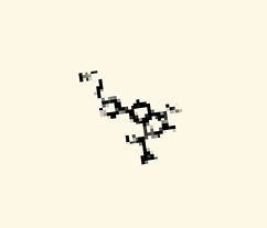 CC(=O)N1c2ccc(-c3cnn(CCC#N)c3)cc2N(C(=O)C2CC2)CC1C